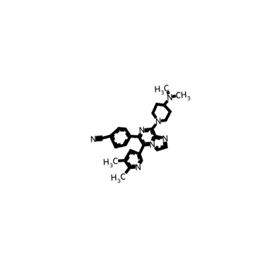 Cc1cc(-c2c(-c3ccc(C#N)cc3)nc(N3CCC(N(C)C)CC3)c3nccn23)cnc1C